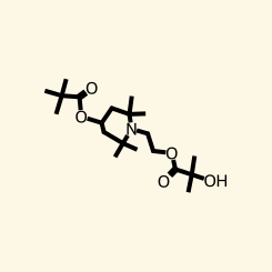 CC(C)(C)C(=O)OC1CC(C)(C)N(CCOC(=O)C(C)(C)O)C(C)(C)C1